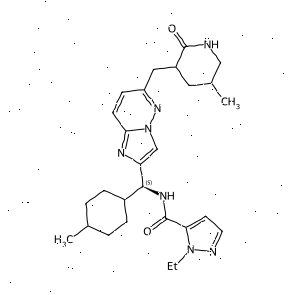 CCn1nccc1C(=O)N[C@H](c1cn2nc(CC3CC(C)CNC3=O)ccc2n1)C1CCC(C)CC1